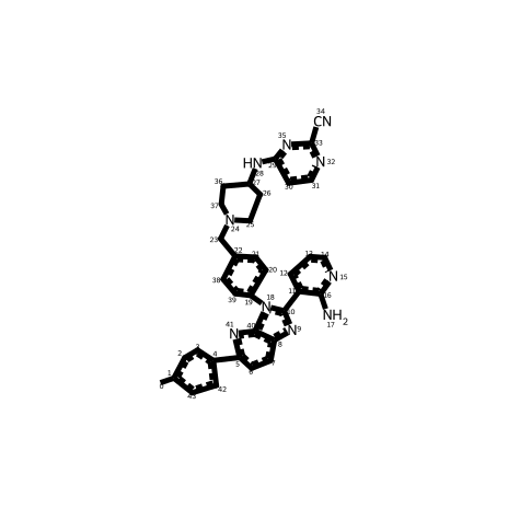 Cc1ccc(-c2ccc3nc(-c4cccnc4N)n(-c4ccc(CN5CCC(Nc6ccnc(C#N)n6)CC5)cc4)c3n2)cc1